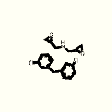 C(NCC1CO1)C1CO1.Clc1cccc(Cc2cccc(Cl)c2)c1